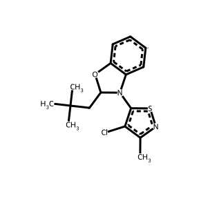 Cc1nsc(N2c3c[c]ccc3OC2CC(C)(C)C)c1Cl